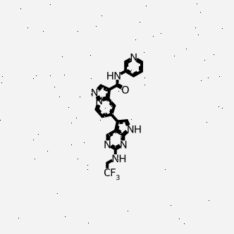 O=C(Nc1cccnc1)c1cnn2ccc(-c3c[nH]c4nc(NCC(F)(F)F)ncc34)cc12